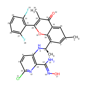 Cc1cc([C@@H](C)Nc2ccc(Cl)nc2/C(N)=N/O)c2oc(-c3c(F)cccc3F)c(C)c(=O)c2c1